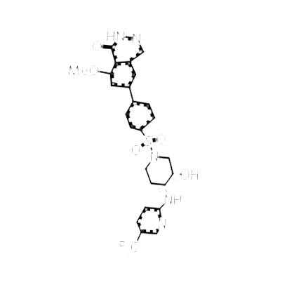 COc1cc(-c2ccc(S(=O)(=O)N3CC[C@@H](Nc4ccc(C(F)(F)F)cn4)[C@@H](O)C3)cc2)cc2cn[nH]c(=O)c12